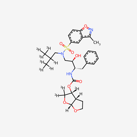 [2H]C([2H])([2H])C([2H])(CN(C[C@@H](O)[C@H](Cc1ccccc1)NC(=O)O[C@]1([2H])[C@@H]2CCO[C@@H]2OC1([2H])[2H])S(=O)(=O)c1ccc2onc(C)c2c1)C([2H])([2H])[2H]